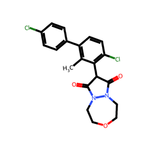 Cc1c(-c2ccc(Cl)cc2)ccc(Cl)c1C1C(=O)N2CCOCCN2C1=O